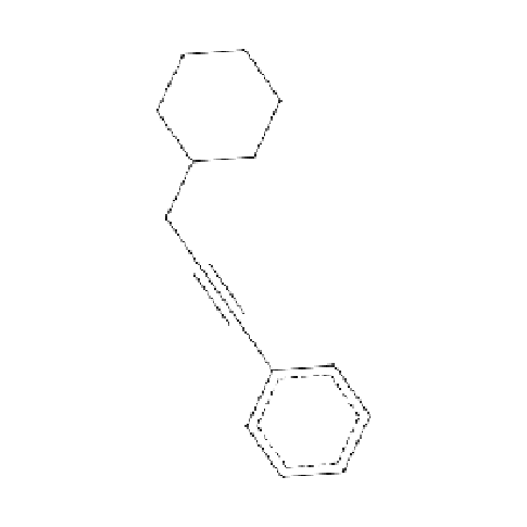 C(#Cc1ccccc1)CC1CCCCC1